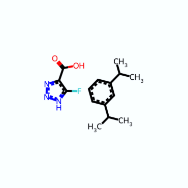 CC(C)c1cccc(C(C)C)c1.O=C(O)c1nn[nH]c1F